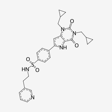 O=c1c2[nH]c(-c3ccc(S(=O)(=O)NCCc4cccnc4)cc3)cc2n(CC2CC2)c(=O)n1CC1CC1